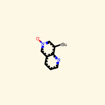 CC(C)(C)c1c[n+]([O-])cc2cccnc12